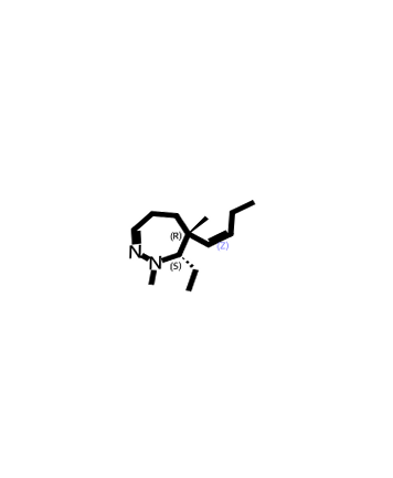 CC/C=C\[C@@]1(C)CCC=NN(C)[C@H]1CC